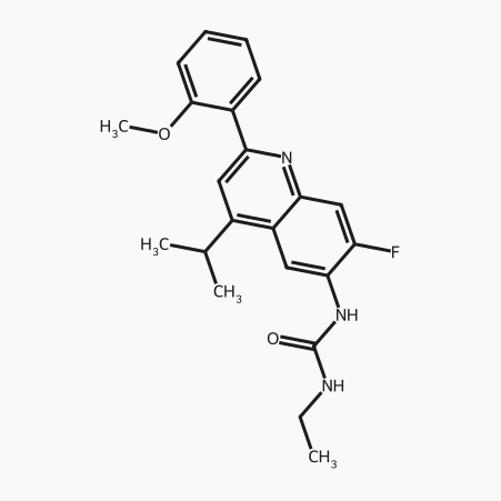 CCNC(=O)Nc1cc2c(C(C)C)cc(-c3ccccc3OC)nc2cc1F